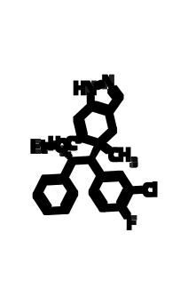 CCO[C@@H](c1ccccc1)[C@H](c1ccc(F)c(Cl)c1)C1(C)Cc2cn[nH]c2C=C1C